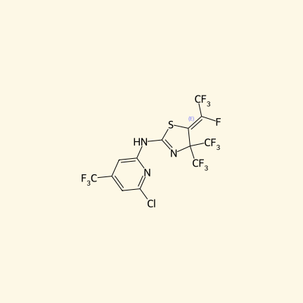 F/C(=C1/SC(Nc2cc(C(F)(F)F)cc(Cl)n2)=NC1(C(F)(F)F)C(F)(F)F)C(F)(F)F